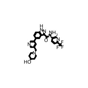 NN(C(=O)c1n[nH]c2ccc(-c3cncc(CN4CCC(O)CC4)c3)cc12)c1ccc(C(F)(F)F)nc1